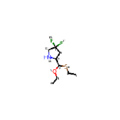 CCOC(SCC)C1CC(F)(F)CN1